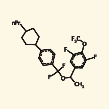 CCCC1CCC(c2ccc(C(F)(F)OC(C)c3cc(F)c(OC(F)(F)F)c(F)c3)cc2)CC1